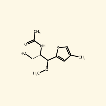 CO[C@H](c1cc(C)cs1)[C@H](CO)NC(C)=O